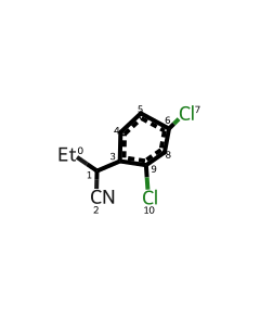 [CH2]CC(C#N)c1ccc(Cl)cc1Cl